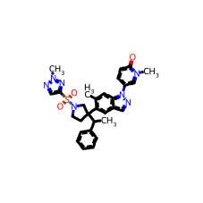 Cc1cc2c(cnn2-c2ccc(=O)n(C)c2)cc1C1(C(C)c2ccccc2)CCN(S(=O)(=O)c2cnn(C)n2)C1